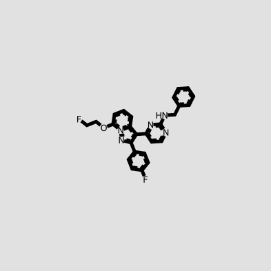 FCCOc1cccc2c(-c3ccnc(NCc4ccccc4)n3)c(-c3ccc(F)cc3)nn12